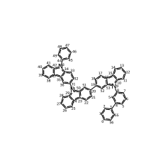 c1ccc(-c2cccc(-n3c4ccccc4c4ccc(-c5ccc6c7ccccc7n(-c7ccc8c(c7)c7ccccc7n8-c7ccccc7)c6c5)cc43)c2)cc1